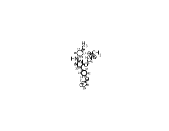 CS(=O)(=O)N1CC(Oc2nc(N[C@H]3CC[C@@H](C)CC3)ncc2-c2ccc(O[C@@H]3CCOC3)cc2)C1